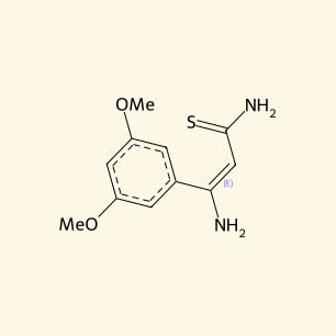 COc1cc(OC)cc(/C(N)=C\C(N)=S)c1